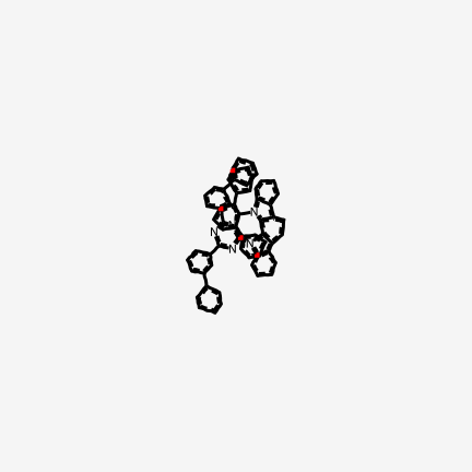 c1ccc(-c2cccc(-c3nc(-c4cccc(-c5ccccc5)c4)nc(-n4c5ccccc5c5ccc6c7ccccc7n(-c7c(-c8ccccc8)cccc7-c7ccccc7)c6c54)n3)c2)cc1